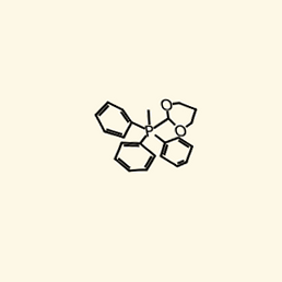 CP(c1ccccc1)(c1ccccc1)(c1ccccc1)C1OCCCO1